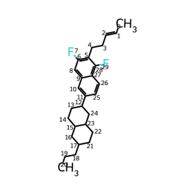 CC=CCCc1c(F)cc2cc(C3CCC4CC(CCC)CCC4C3)ccc2c1F